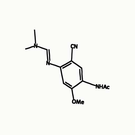 COc1cc(N=CN(C)C)c(C#N)cc1NC(C)=O